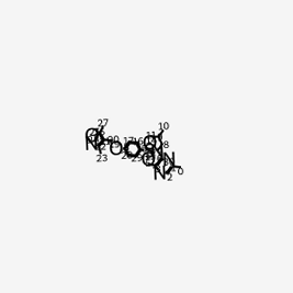 Cc1cnc(C)c(N(CC(C)C)S(=O)(=O)c2ccc(OCc3c(C)noc3C)cc2)n1